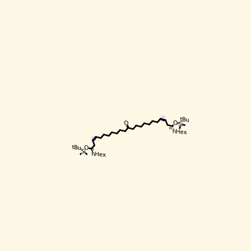 CCCCCC[C@H](C/C=C\CCCCCCCC(=O)CCCCCCC/C=C\C[C@@H](CCCCCC)O[Si](C)(C)C(C)(C)C)O[Si](C)(C)C(C)(C)C